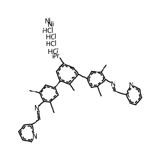 Cc1cc(-c2cc(C(C)C)cc(-c3cc(C)c(N=Cc4ccccn4)c(C)c3)c2C)cc(C)c1N=Cc1ccccn1.Cl.Cl.Cl.Cl.[Ni].[Ni]